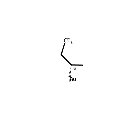 CCC(C)[C@@H](C)CC(F)(F)F